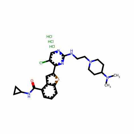 CN(C)C1CCN(CCNc2ncc(Cl)c(-c3cc4c(C(=O)NC5CC5)cccc4s3)n2)CC1.Cl.Cl.Cl